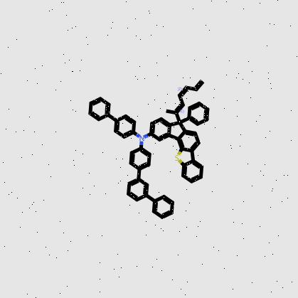 C=C/C=C\C=C(/C)C1(c2ccccc2)c2ccc(N(c3ccc(-c4ccccc4)cc3)c3ccc(-c4cccc(-c5ccccc5)c4)cc3)cc2-c2c1ccc1c2sc2ccccc21